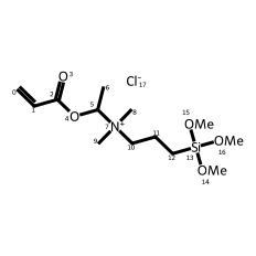 C=CC(=O)OC(C)[N+](C)(C)CCC[Si](OC)(OC)OC.[Cl-]